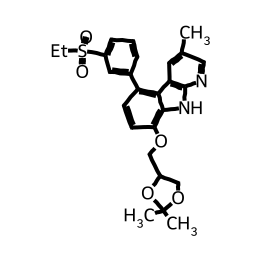 CCS(=O)(=O)c1cccc(-c2ccc(OCC3COC(C)(C)O3)c3[nH]c4ncc(C)cc4c23)c1